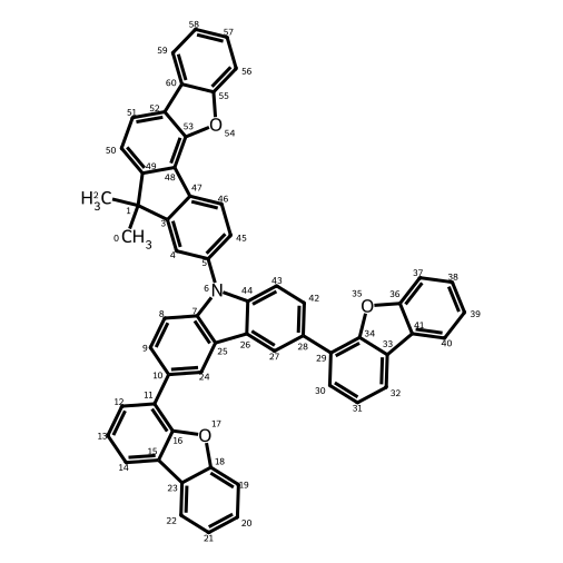 CC1(C)c2cc(-n3c4ccc(-c5cccc6c5oc5ccccc56)cc4c4cc(-c5cccc6c5oc5ccccc56)ccc43)ccc2-c2c1ccc1c2oc2ccccc21